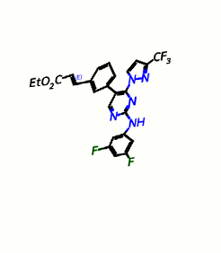 CCOC(=O)/C=C/c1cccc(-c2cnc(Nc3cc(F)cc(F)c3)nc2-n2ccc(C(F)(F)F)n2)c1